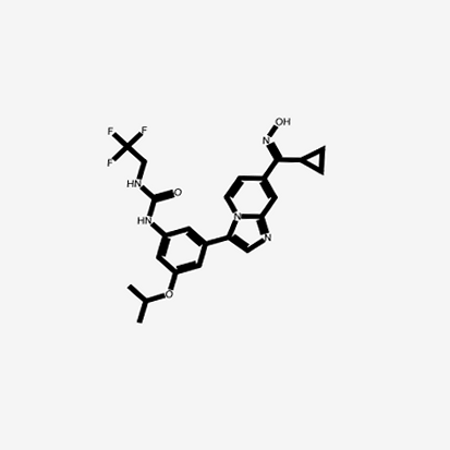 CC(C)Oc1cc(NC(=O)NCC(F)(F)F)cc(-c2cnc3cc(/C(=N/O)C4CC4)ccn23)c1